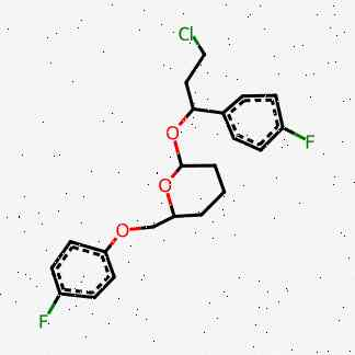 Fc1ccc(OCC2CCCC(OC(CCCl)c3ccc(F)cc3)O2)cc1